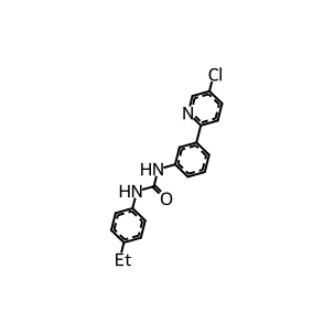 CCc1ccc(NC(=O)Nc2cccc(-c3ccc(Cl)cn3)c2)cc1